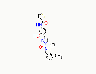 Cc1cccc(CNC(=O)n2nc(-c3ccc(NC(=O)c4cccs4)cc3O)cc2C2CCC2)c1